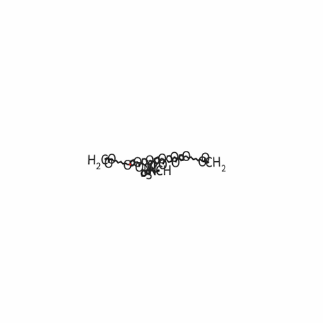 C#CCN(/N=C/c1cc(OC(=O)[C@H]2CC[C@H](OC(=O)c3ccc(OCCCCCCOC(=O)C=C)cc3)CC2)ccc1C(=O)O[C@H]1CC[C@H](C(=O)Oc2ccc(OCCCCCCOC(=O)C=C)cc2)CC1)c1nc2ccccc2s1